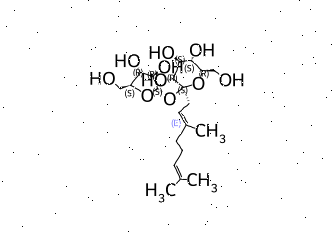 CC(C)=CCC/C(C)=C/C[C@@]1(O[C@@H]2O[C@@H](CO)[C@H](O)[C@H]2O)O[C@H](CO)[C@@H](O)[C@H](O)[C@H]1O